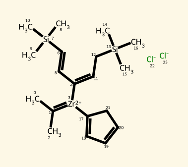 C[C](C)=[Zr+2]([C](C=C[Si](C)(C)C)=CC[Si](C)(C)C)[C]1=CC=CC1.[Cl-].[Cl-]